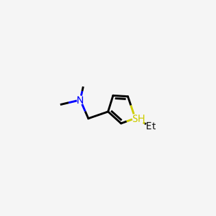 [CH2]C[SH]1C=CC(CN(C)C)=C1